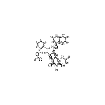 CC(=O)OCc1ccccc1CCc1nc2c(=O)n(C)c(=O)n(CC(C)C)c2nc1COc1cccc2ccccc12